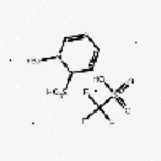 CCCCN1C=CC=CC1S(=O)(=O)O.O=S(=O)(O)C(F)(F)F